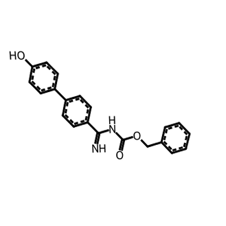 N=C(NC(=O)OCc1ccccc1)c1ccc(-c2ccc(O)cc2)cc1